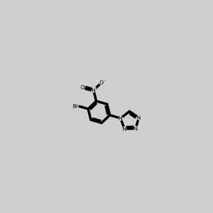 O=[N+]([O-])c1cc(-n2cnnn2)ccc1Br